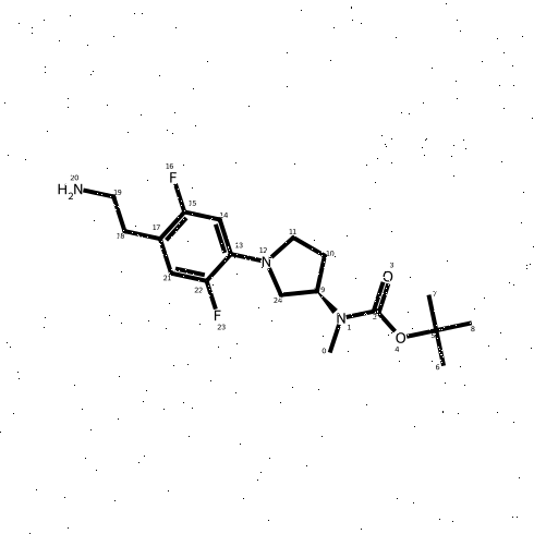 CN(C(=O)OC(C)(C)C)[C@@H]1CCN(c2cc(F)c(CCN)cc2F)C1